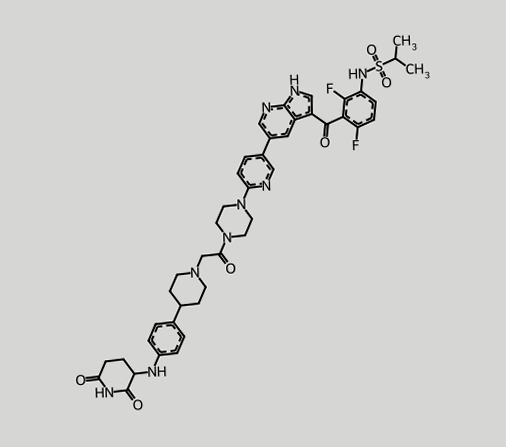 CC(C)S(=O)(=O)Nc1ccc(F)c(C(=O)c2c[nH]c3ncc(-c4ccc(N5CCN(C(=O)CN6CCC(c7ccc(NC8CCC(=O)NC8=O)cc7)CC6)CC5)nc4)cc23)c1F